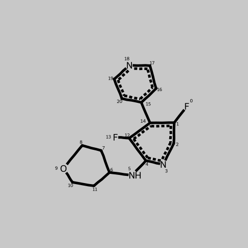 Fc1cnc(NC2CCOCC2)c(F)c1-c1ccncc1